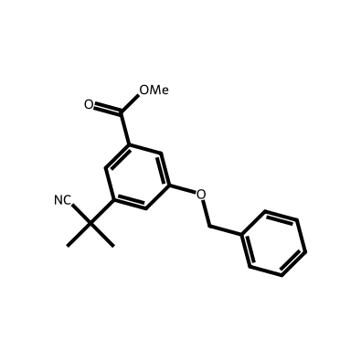 COC(=O)c1cc(OCc2ccccc2)cc(C(C)(C)C#N)c1